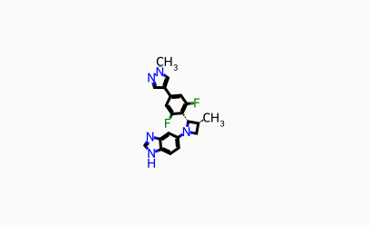 C[C@@H]1CN(c2ccc3[nH]cnc3c2)[C@@H]1c1c(F)cc(-c2cnn(C)c2)cc1F